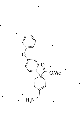 COC(=O)[N+]1(c2ccc(Oc3ccccc3)cc2)C=CC(CN)=CC1